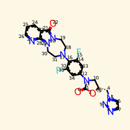 O=C1O[C@@H](Cn2ccnn2)CN1c1cc(F)c(N2CCn3c(=O)c4cccnc4n3CC2)c(F)c1